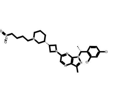 Cc1nn([C@H](C)c2ccc(Cl)cc2Cl)c2nc(N3CC([C@H]4CCCN(CCCC[SH](=O)=O)C4)C3)cnc12